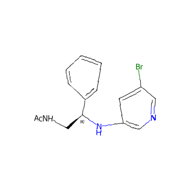 CC(=O)NC[C@H](Nc1cncc(Br)c1)c1ccccc1